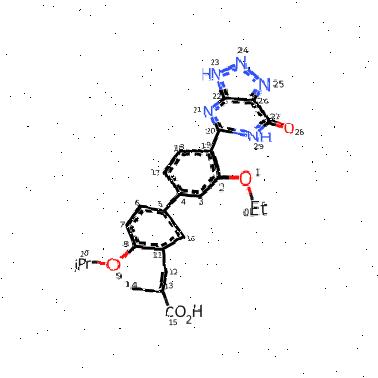 CCOc1cc(-c2ccc(OC(C)C)c(/C=C(\C)C(=O)O)c2)ccc1-c1nc2[nH]nnc2c(=O)[nH]1